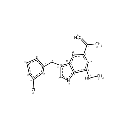 C=C(C)c1nc(NC)c2ncn(Cc3cccc(Cl)c3)c2n1